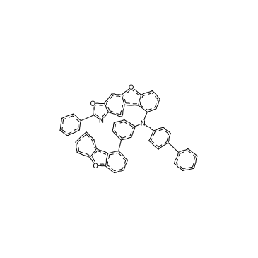 c1ccc(-c2ccc(N(c3cccc(-c4cccc5oc6ccccc6c45)c3)c3cccc4oc5cc6oc(-c7ccccc7)nc6cc5c34)cc2)cc1